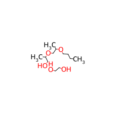 CCCCOC(C)COC(C)CO.OCCO